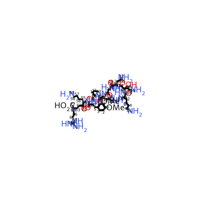 COc1ccc(C[C@H](NC(=O)[C@@H]2CCCN2C(=O)[C@@H](CCCN)NC(=O)CNC(=O)[C@H](CCN)NC(=O)[C@@H](NC(=O)[C@@H](N)CCCCN)[C@@H](O)CN)C(=O)N[C@@H](CCCCN)C(=O)CC/C(=C\CCNC(=N)N)C(=O)O)cc1OC